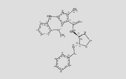 COc1ccccc1Nc1nc(C)c(C(=O)N[C@H]2CCC[C@@H]2OCc2ccccc2)o1